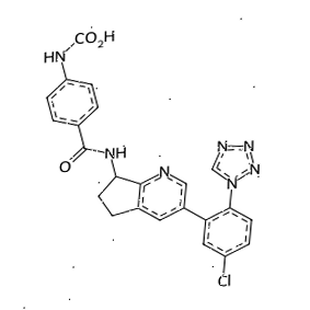 O=C(O)Nc1ccc(C(=O)NC2CCc3cc(-c4cc(Cl)ccc4-n4cnnn4)cnc32)cc1